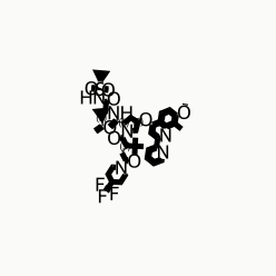 C=C[C@@H]1CC1(NC(=O)[C@@H]1C[C@@H](Oc2cc(-c3ccccn3)nc3c(C)c(OC)ccc23)CN1C(=O)[C@@H](CC(=O)N1CCC(C(F)(F)F)CC1)C(C)(C)C)C(=O)NS(=O)(=O)C1CC1